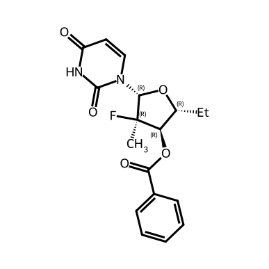 CC[C@H]1O[C@@H](n2ccc(=O)[nH]c2=O)[C@](C)(F)[C@@H]1OC(=O)c1ccccc1